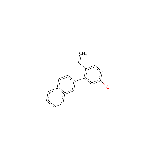 C=Cc1ccc(O)cc1-c1ccc2ccccc2c1